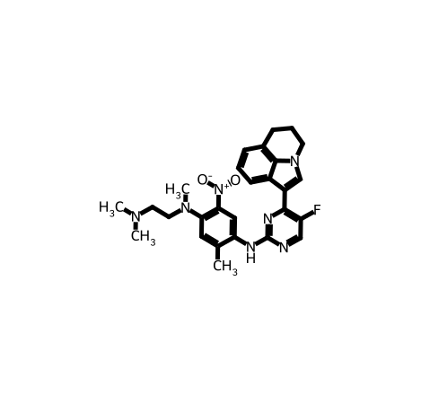 Cc1cc(N(C)CCN(C)C)c([N+](=O)[O-])cc1Nc1ncc(F)c(-c2cn3c4c(cccc24)CCC3)n1